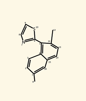 Cc1ccc2c(-c3nccs3)c(C)ccc2c1